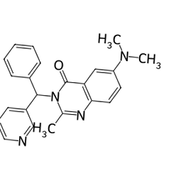 Cc1nc2ccc(N(C)C)cc2c(=O)n1C(c1ccccc1)c1cccnc1